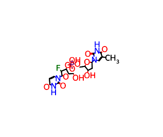 Cc1cn(C2CC(O)C(COP(=O)(O)OC3C(CO)OC(n4ccc(=O)[nH]c4=O)C3F)O2)c(=O)[nH]c1=O